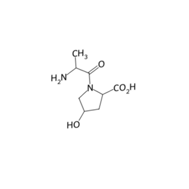 CC(N)C(=O)N1CC(O)CC1C(=O)O